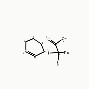 C1=NCCCC1.O=C(O)C(F)(F)F